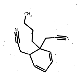 CCCCC1(CC#N)C=CC=CC1CC#N